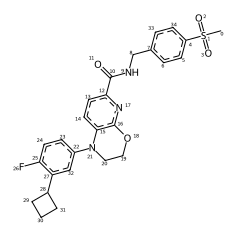 CS(=O)(=O)c1ccc(CNC(=O)c2ccc3c(n2)OCCN3c2ccc(F)c(C3CCC3)c2)cc1